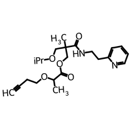 C#CCCOC(C)C(=O)OCC(C)(COC(C)C)C(=O)NCCc1ccccn1